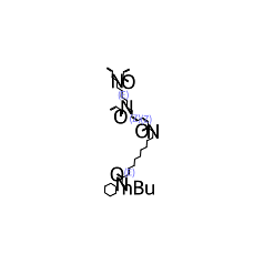 C=CCN(C/C=C/CN(C/C=C\C=C/C(=O)N(C)CCCCCCC/C=C/C(=O)N(CCCC)C1CCCCC1)C(=O)C=C)C(=O)C=C